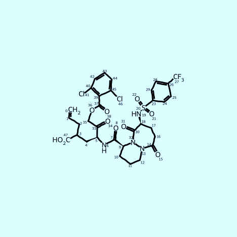 C=CCC(C[C@H](NC(=O)[C@@H]1CCCN2C(=O)CC[C@H](NS(=O)(=O)c3ccc(C(F)(F)F)cc3)C(=O)N12)C(=O)COC(=O)c1c(Cl)cccc1Cl)C(=O)O